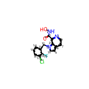 O=C(NO)c1nccc2ccn(Cc3cccc(Cl)c3F)c12